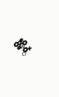 CC(C)(C)c1cc(Cl)cc(N2c3ccccc3C3(c4ccccc4-c4ccccc43)c3ccccc32)c1